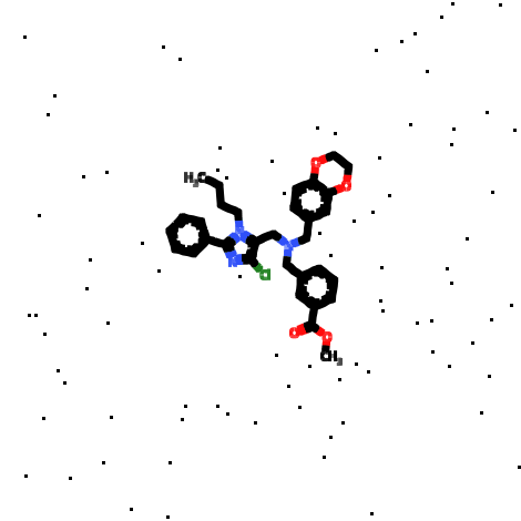 CCCCn1c(-c2ccccc2)nc(Cl)c1CN(Cc1cccc(C(=O)OC)c1)Cc1ccc2c(c1)OCCO2